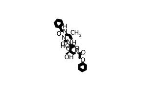 Cc1cn([C@@H]2O[C@@]3(CO)CN(C(=O)COc4ccccc4)O[C@H]2C3O)c(=O)nc1NC(=O)c1ccccc1